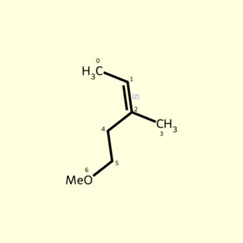 C/C=C(/C)CCOC